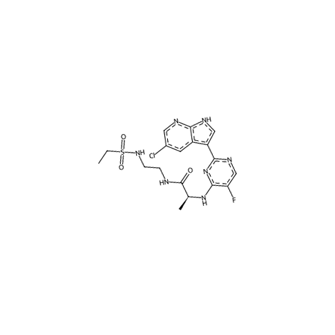 CCS(=O)(=O)NCCNC(=O)[C@H](C)Nc1nc(-c2c[nH]c3ncc(Cl)cc23)ncc1F